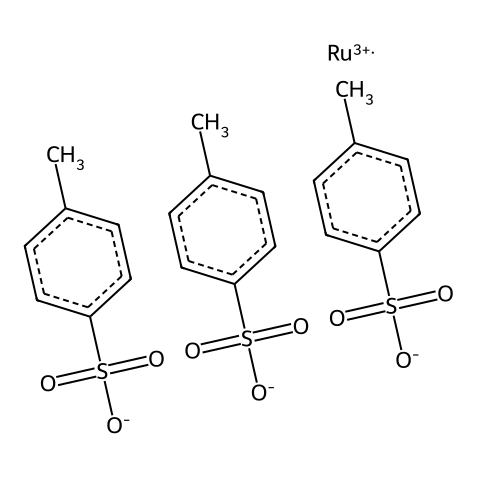 Cc1ccc(S(=O)(=O)[O-])cc1.Cc1ccc(S(=O)(=O)[O-])cc1.Cc1ccc(S(=O)(=O)[O-])cc1.[Ru+3]